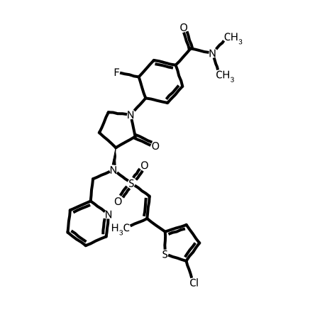 C/C(=C\S(=O)(=O)N(Cc1ccccn1)[C@H]1CCN(C2C=CC(C(=O)N(C)C)=CC2F)C1=O)c1ccc(Cl)s1